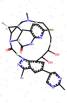 CC(=O)c1nn2c3c(cc(-c4cnc(C)nc4)cc13)C(O)C(O)CCCCCN(C)C[C@@]13C[C@@H](C(=O)Nc4nc(Br)ccc4C)N(C(=O)C2)C1[C@@H]3C